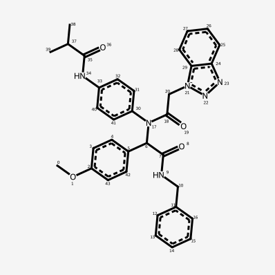 COc1ccc(C(C(=O)NCc2ccccc2)N(C(=O)Cn2nnc3ccccc32)c2ccc(NC(=O)C(C)C)cc2)cc1